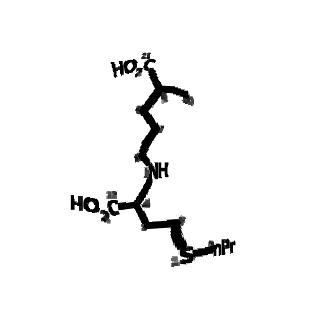 CCCSCCC(NCCCC(C)C(=O)O)C(=O)O